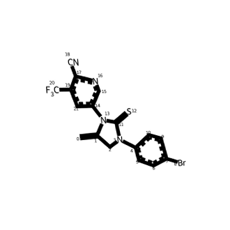 C=C1CN(c2ccc(Br)cc2)C(=S)N1c1cnc(C#N)c(C(F)(F)F)c1